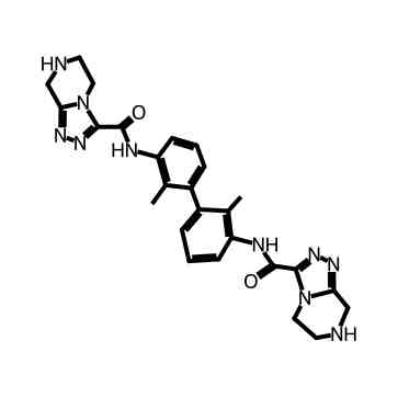 Cc1c(NC(=O)c2nnc3n2CCNC3)cccc1-c1cccc(NC(=O)c2nnc3n2CCNC3)c1C